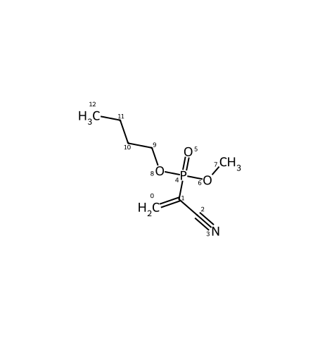 C=C(C#N)P(=O)(OC)OCCCC